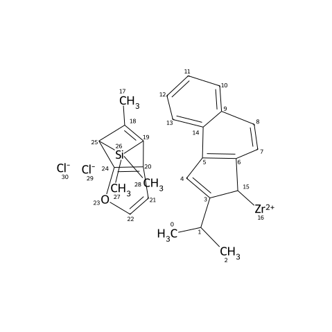 CC(C)C1=Cc2c(ccc3ccccc23)[CH]1[Zr+2].CC1=C2c3ccoc3C1[Si]2(C)C.[Cl-].[Cl-]